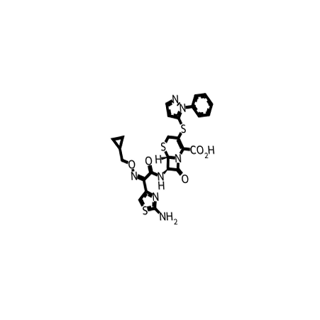 Nc1nc(/C(=N/OCC2CC2)C(=O)N[C@@H]2C(=O)N3C(C(=O)O)=C(Sc4ccnn4-c4ccccc4)CS[C@@H]23)cs1